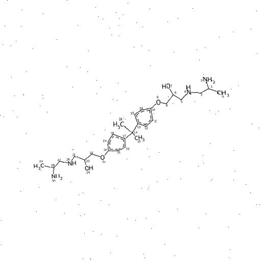 CC(N)CNCC(O)COc1ccc(C(C)(C)c2ccc(OCC(O)CNCC(C)N)cc2)cc1